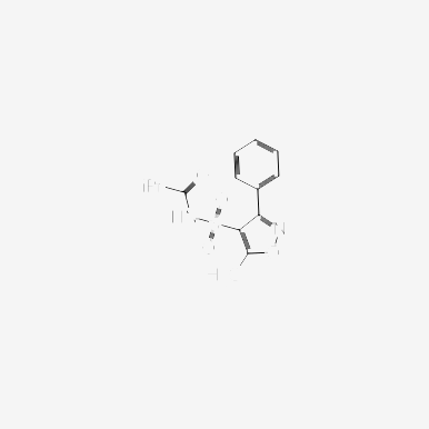 Cc1onc(-c2ccccc2)c1S(=O)(=O)NC(=O)C(C)C